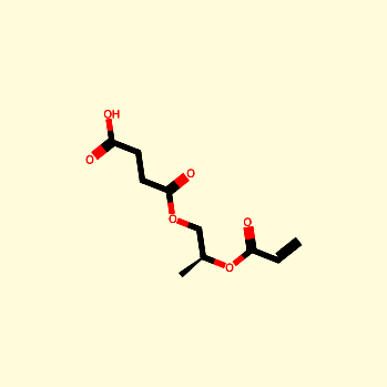 C=CC(=O)O[C@@H](C)COC(=O)CCC(=O)O